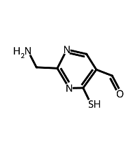 NCc1ncc(C=O)c(S)n1